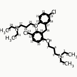 CCN(CC)CCCOc1ccc(Cl)cc1Cc1cc(Cl)ccc1OCCCN(CC)CC